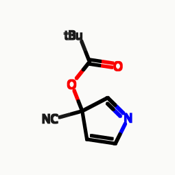 CC(C)(C)C(=O)OC1(C#N)C=CN=C1